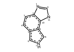 C1=Nc2ccc3c[nH]cc3c2[N]1